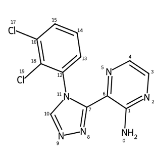 Nc1nccnc1-c1nncn1-c1cccc(Cl)c1Cl